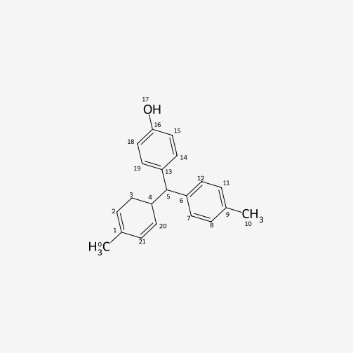 CC1=CCC(C(c2ccc(C)cc2)c2ccc(O)cc2)C=C1